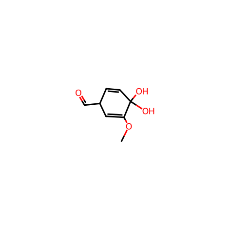 COC1=CC(C=O)C=CC1(O)O